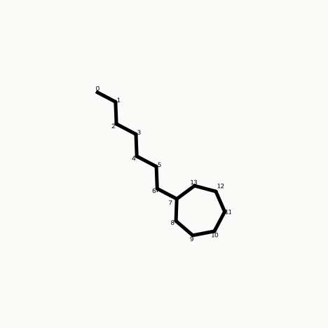 CCCCCC[CH]C1CCCCCC1